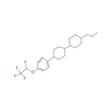 CCCC1CCC(C2CCC(c3ccc(OC(F)C(F)(F)F)cc3)CC2)CC1